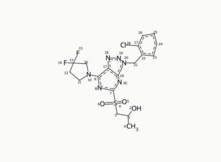 CC(O)CS(=O)(=O)c1nc(N2CCC(F)(F)C2)c2nnn(Cc3ccccc3Cl)c2n1